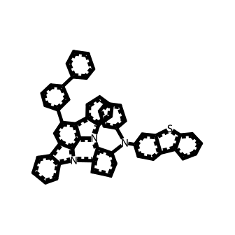 c1ccc(-c2cccc(-c3cc4c5ccccc5n5c6cccc(N(c7ccccc7)c7ccc8c(c7)sc7ccccc78)c6n6c7ccccc7c3c6c45)c2)cc1